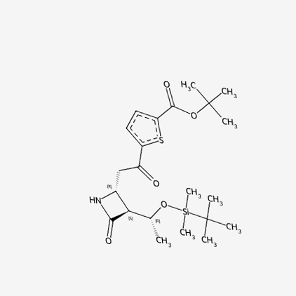 C[C@@H](O[Si](C)(C)C(C)(C)C)[C@H]1C(=O)N[C@@H]1CC(=O)c1ccc(C(=O)OC(C)(C)C)s1